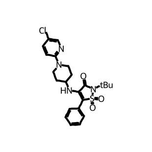 CC(C)(C)N1C(=O)C(NC2CCN(c3ccc(Cl)cn3)CC2)=C(c2ccccc2)S1(=O)=O